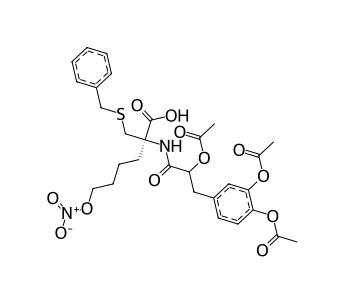 CC(=O)Oc1ccc(CC(OC(C)=O)C(=O)N[C@@](CCCCO[N+](=O)[O-])(CSCc2ccccc2)C(=O)O)cc1OC(C)=O